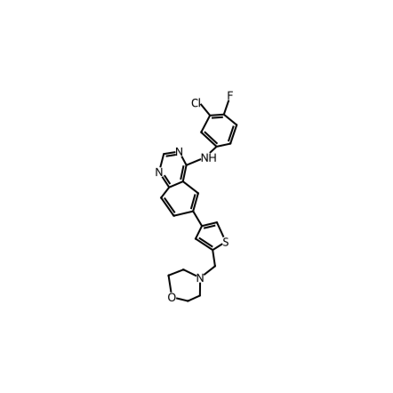 Fc1ccc(Nc2ncnc3ccc(-c4csc(CN5CCOCC5)c4)cc23)cc1Cl